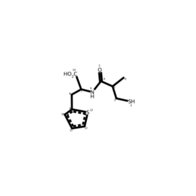 CC(CS)C(=O)NC(Cc1cccs1)C(=O)O